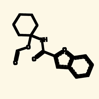 O=COC1(NC(=O)c2cc3ccccc3o2)CCCCC1